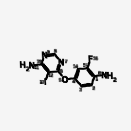 Nc1ccc(Oc2ncnc(N)c2I)cc1F